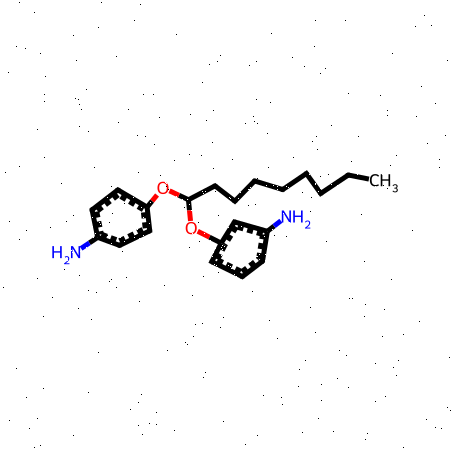 CCCCCCCCC(Oc1ccc(N)cc1)Oc1cccc(N)c1